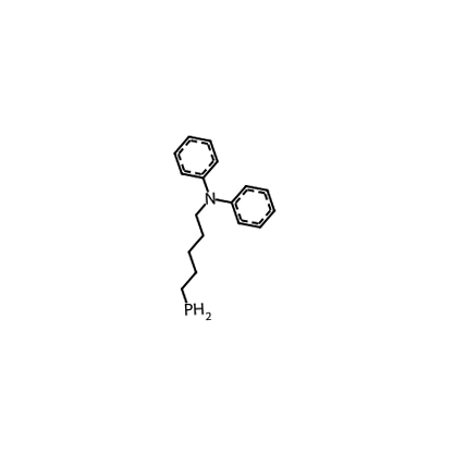 PCCCCCN(c1ccccc1)c1ccccc1